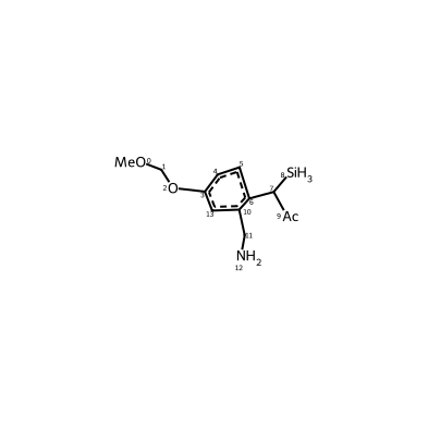 COCOc1ccc(C([SiH3])C(C)=O)c(CN)c1